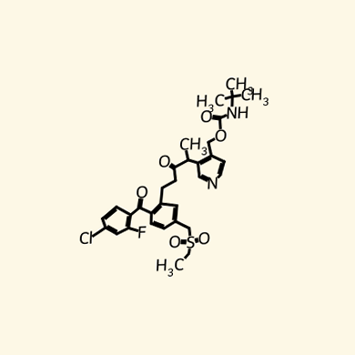 CCS(=O)(=O)Cc1ccc(C(=O)c2ccc(Cl)cc2F)c(CCC(=O)C(C)c2cnccc2COC(=O)NC(C)(C)C)c1